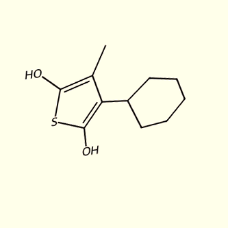 Cc1c(O)sc(O)c1C1CCCCC1